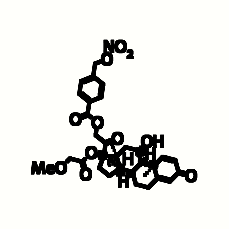 COCC(=O)O[C@]1(C(=O)COC(=O)c2ccc(CO[N+](=O)[O-])cc2)CC[C@H]2[C@@H]3CCC4=CC(=O)C=C[C@]4(C)[C@H]3[C@@H](O)C[C@@]21C